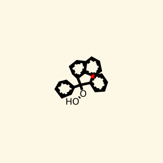 OOC(c1ccccc1)(c1ccccc1)c1cccc2ccccc12